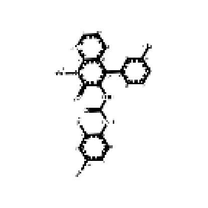 CCCCn1c(=O)c(NC(=O)Nc2ccc(F)cc2F)c(-c2cccc(Br)c2)c2cccnc21